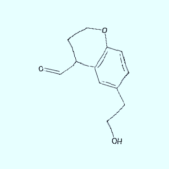 O=CC1CCOc2ccc(CCO)cc21